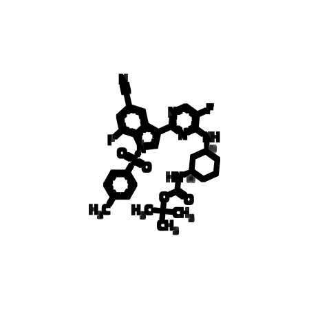 Cc1ccc(S(=O)(=O)n2cc(-c3ncc(F)c(N[C@H]4CCC[C@@H](NC(=O)OC(C)(C)C)C4)n3)c3cc(C#N)cc(F)c32)cc1